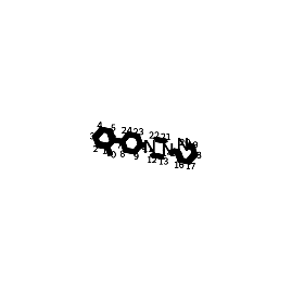 Cc1ccccc1C1CCC(N2CCN(c3ccccn3)CC2)CC1